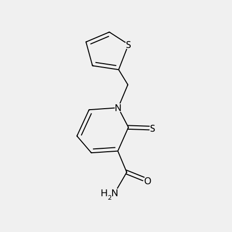 NC(=O)c1cccn(Cc2cccs2)c1=S